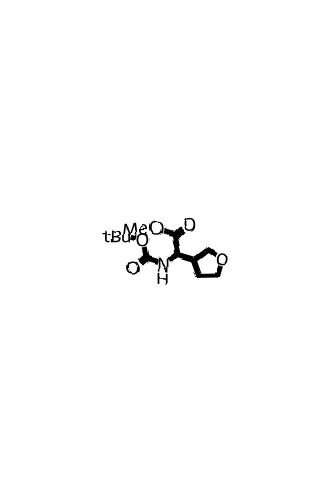 COC(=O)C(NC(=O)OC(C)(C)C)C1CCOC1